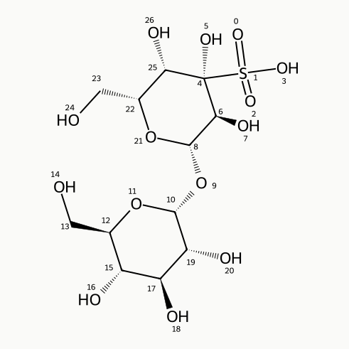 O=S(=O)(O)[C@@]1(O)[C@@H](O)[C@H](O[C@H]2O[C@H](CO)[C@@H](O)[C@H](O)[C@H]2O)O[C@H](CO)[C@@H]1O